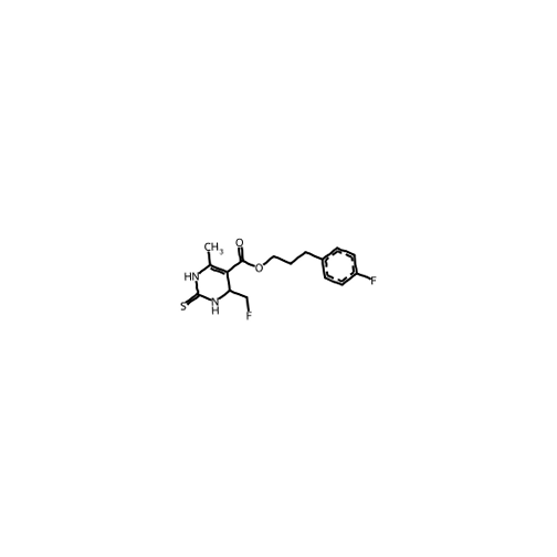 CC1=C(C(=O)OCCCc2ccc(F)cc2)C(CF)NC(=S)N1